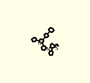 c1ccc(-c2ccc(-c3cc(-c4ccccc4)nc(-c4cccc(-n5c6ccccc6c6c7sccc7ccc65)c4)c3)cc2)cc1